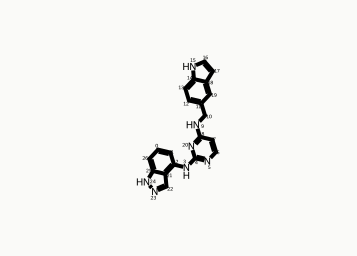 c1cc(Nc2nccc(NCc3ccc4[nH]ccc4c3)n2)c2cn[nH]c2c1